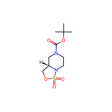 CC(C)(C)OC(=O)N1CCN2[C@H](COS2(=O)=O)C1